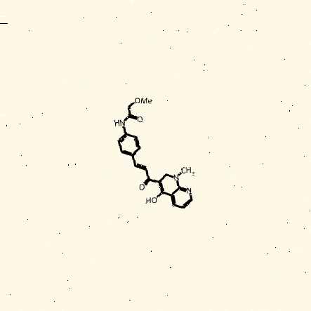 COCC(=O)Nc1ccc(C=CC(=O)C2=C(O)c3cccnc3N(C)C2)cc1